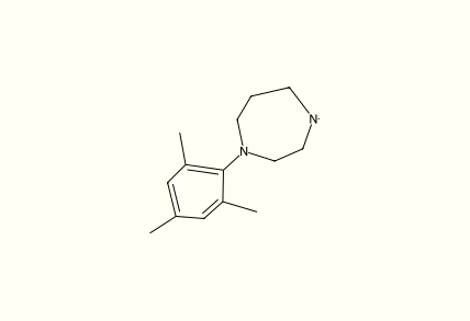 Cc1cc(C)c(N2CCC[N]CC2)c(C)c1